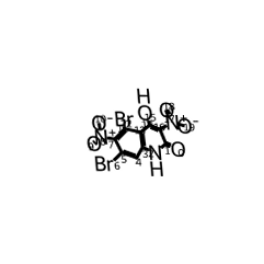 O=c1[nH]c2cc(Br)c([N+](=O)[O-])c(Br)c2c(O)c1[N+](=O)[O-]